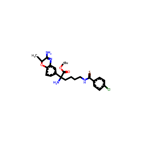 CC1Oc2ccc(C(N)(CCCCNC(=S)c3ccc(Cl)cc3)C(=O)OC(C)(C)C)cc2N=C1N